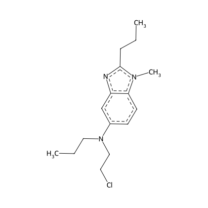 CCCc1nc2cc(N(CCC)CCCl)ccc2n1C